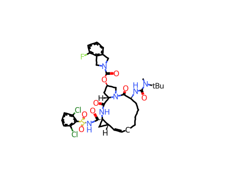 CN(C(=O)N[C@H]1CCCCC/C=C\[C@@H]2C[C@@]2(C(=O)NS(=O)(=O)c2c(Cl)cccc2Cl)NC(=O)[C@@H]2C[C@@H](OC(=O)N3Cc4cccc(F)c4C3)CN2C1=O)C(C)(C)C